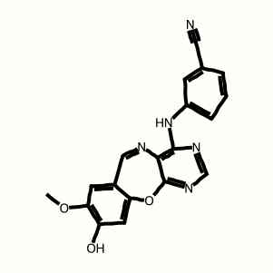 COc1cc2c(cc1O)Oc1ncnc(Nc3cccc(C#N)c3)c1N=C2